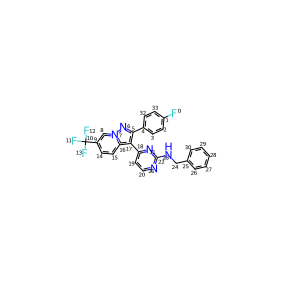 Fc1ccc(-c2nn3cc(C(F)(F)F)ccc3c2-c2ccnc(NCc3ccccc3)n2)cc1